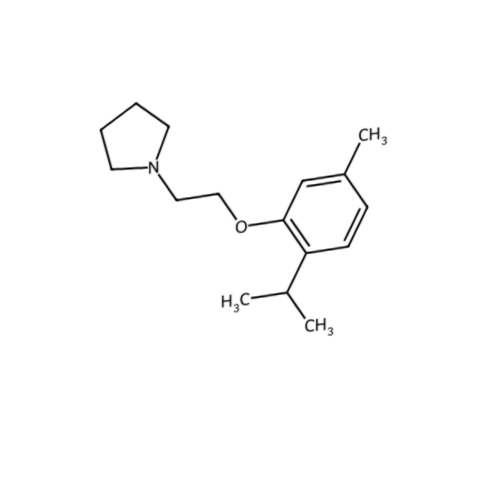 Cc1ccc(C(C)C)c(OCCN2CCCC2)c1